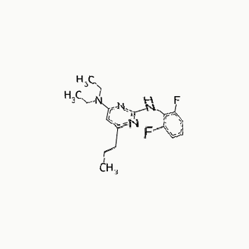 CCCc1cc(N(CC)CC)nc(Nc2c(F)cccc2F)n1